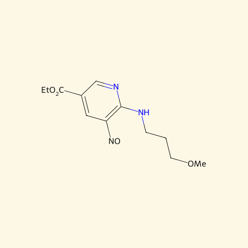 CCOC(=O)c1cnc(NCCCOC)c(N=O)c1